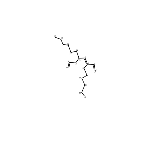 C=CCC(/C=C(/C=O)CCCCCC)CCCCCC